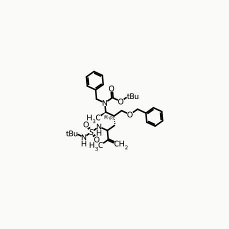 C=C(C)C(C[C@@H](COCc1ccccc1)[C@@H](C)N(Cc1ccccc1)C(=O)OC(C)(C)C)NS(=O)(=O)NC(C)(C)C